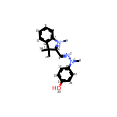 CN(N=CC1=[N+](C)c2ccccc2C1(C)C)c1ccc(O)cc1